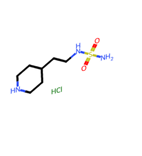 Cl.NS(=O)(=O)NCCC1CCNCC1